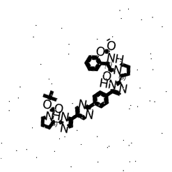 COC(=O)N[C@@H](C(=O)N1CCC[C@H]1c1ncc(-c2ccc(-c3ncc(-c4cnc([C@@H]5CCCN5C(=O)OC(C)(C)C)[nH]4)cn3)cc2)[nH]1)c1ccccc1